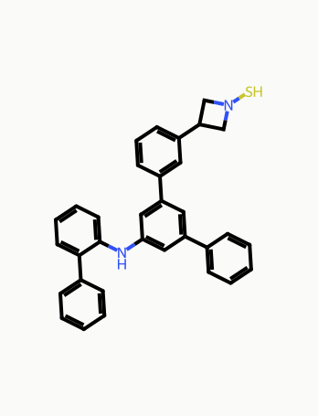 SN1CC(c2cccc(-c3cc(Nc4ccccc4-c4ccccc4)cc(-c4ccccc4)c3)c2)C1